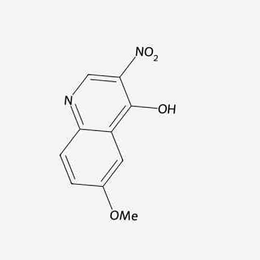 COc1ccc2ncc([N+](=O)[O-])c(O)c2c1